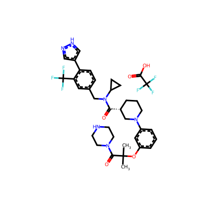 CC(C)(Oc1cccc(N2CCC[C@@H](C(=O)N(Cc3ccc(-c4cn[nH]c4)c(C(F)(F)F)c3)C3CC3)C2)c1)C(=O)N1CCNCC1.O=C(O)C(F)(F)F